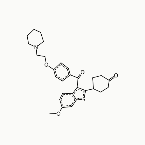 COc1ccc2c(C(=O)c3ccc(OCCN4CCCCC4)cc3)c(C3CCC(=O)CC3)sc2c1